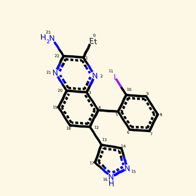 CCc1nc2c(-c3ccccc3I)c(-c3cn[nH]c3)ccc2nc1N